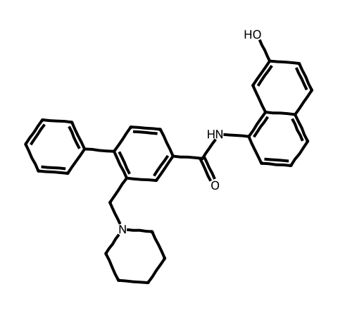 O=C(Nc1cccc2ccc(O)cc12)c1ccc(-c2ccccc2)c(CN2CCCCC2)c1